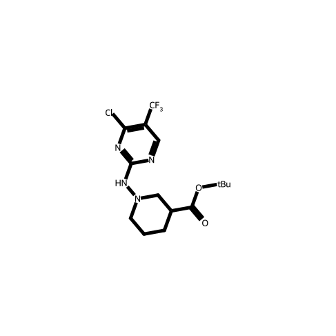 CC(C)(C)OC(=O)C1CCCN(Nc2ncc(C(F)(F)F)c(Cl)n2)C1